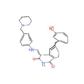 O=C1NC(=O)c2ccc(-c3cccc(O)c3)cc2/C1=C/Nc1ccc(CN2CCCCC2)cc1